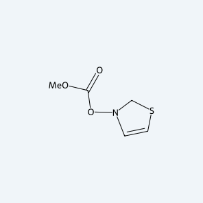 COC(=O)ON1C=CSC1